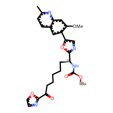 COc1cc2nc(C)ccc2cc1-c1cnc([C@H](CCCCCC(=O)c2ncco2)NC(=O)OC(C)(C)C)o1